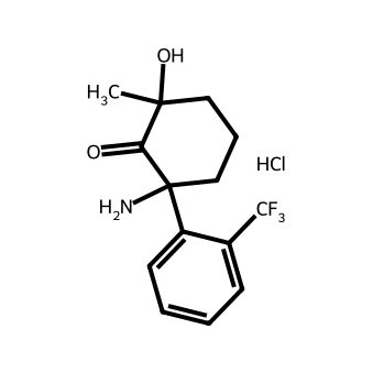 CC1(O)CCCC(N)(c2ccccc2C(F)(F)F)C1=O.Cl